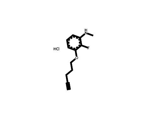 C#CCCCOc1cccc(NC)c1F.Cl